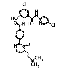 CN(C)CCn1ccnc(-c2ccc(C(=O)Nc3c(O)cc(Cl)cc3C(=O)Nc3ccc(Cl)cn3)cc2)c1=O